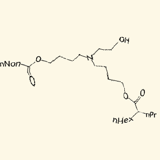 CCCCCCCCCC(=O)OCCCCN(CCO)CCCCOC(=O)C(CCC)CCCCCC